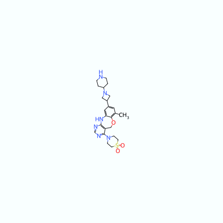 Cc1cc(C2CN(C3CCNCC3)C2)cc2c1OCc1c(ncnc1N1CCS(=O)(=O)CC1)N2